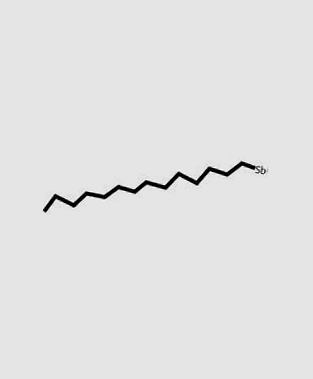 CCCCCCCCCCCCC[CH2][Sb]